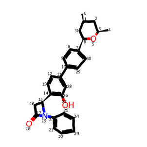 C[C@H]1C[C@@H](C)O[C@@H](c2ccc(-c3ccc([C@@H]4CC(=O)N4c4ccccc4)c(O)c3)cc2)C1